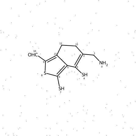 NCC1=C(S)c2c(S)sc(C=O)c2CC1